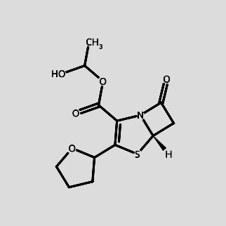 CC(O)OC(=O)C1=C(C2CCCO2)S[C@H]2CC(=O)N12